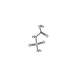 CCCCC(=O)NS(=O)(=O)CCC